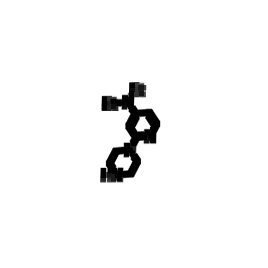 CCN(CC)c1ccnc(N2CCNCC2)c1